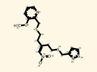 COc1cccnc1CSCC/C(=C/[N+](=O)[O-])CCSCc1ccsn1